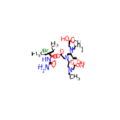 CCC(Br)(CC)C(=O)NC(N)=O.CCN(CCN(CC(=O)O)CC(CCO)N(CC)CC(=O)O)CC(=O)O